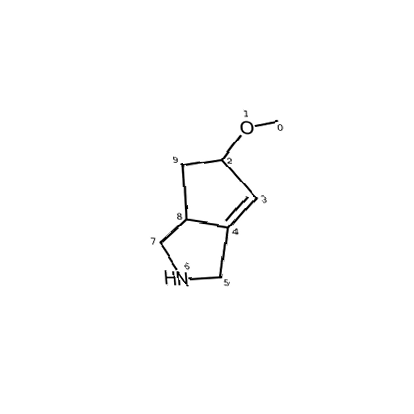 COC1C=C2CNCC2C1